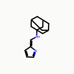 C1=C/C(=C/NC23CC4CC(CC(C4)C2)C3)N=C1